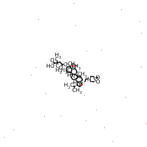 C=C(C)[C@@H]1CC[C@]2(CCN3CCS(=O)(=O)CC3)CC[C@]3(C)[C@H](CC[C@@H]4[C@@]5(C)CC[C@H](OC(=O)CC(C)(C)C(=O)O)C(C)(C)[C@@H]5CC[C@]43C)[C@@H]12